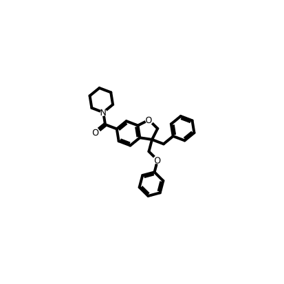 O=C(c1ccc2c(c1)OCC2(COc1ccccc1)Cc1ccccc1)N1CCCCC1